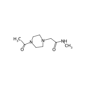 CNC(=O)CN1CCN(C(C)=O)CC1